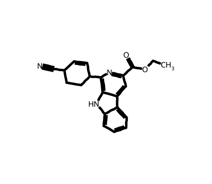 CCOC(=O)c1cc2c([nH]c3ccccc32)c(C2C=CC(C#N)CC2)n1